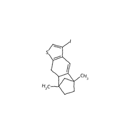 CC12CCC(C)(C1)C1Cc3scc(I)c3C=C12